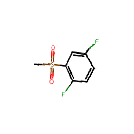 CS(=O)(=O)c1cc(F)[c]cc1F